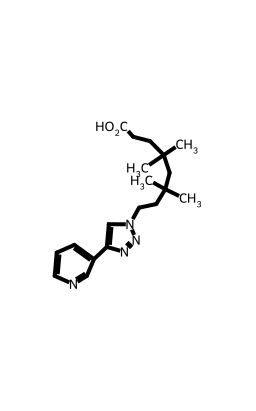 CC(C)(CCC(=O)O)CC(C)(C)CCn1cc(-c2cccnc2)nn1